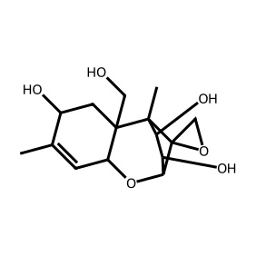 CC1=CC2OC3C(O)C(O)C(C)(C2(CO)CC1O)C31CO1